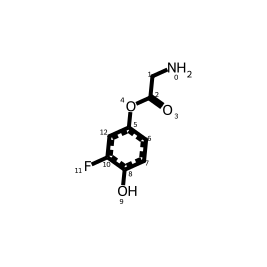 NCC(=O)Oc1ccc(O)c(F)c1